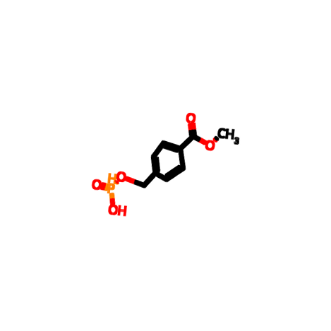 COC(=O)c1ccc(CO[PH](=O)O)cc1